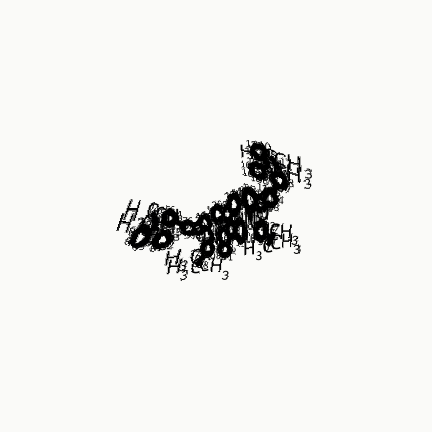 CC(C)(C)c1ccc(N(c2ccc3c(c2)C2(c4ccccc4-c4ccccc42)c2cc(N(c4ccc(C(C)(C)C)cc4)c4cccc5c4oc4ccc(-c6cccc([Si](c7ccccc7)(c7ccccc7)C(C)(C)C)c6)cc45)c4ccccc4c2-3)c2cccc3c2oc2ccc(-c4cccc([Si](c5ccccc5)(c5ccccc5)C(C)(C)C)c4)cc23)cc1